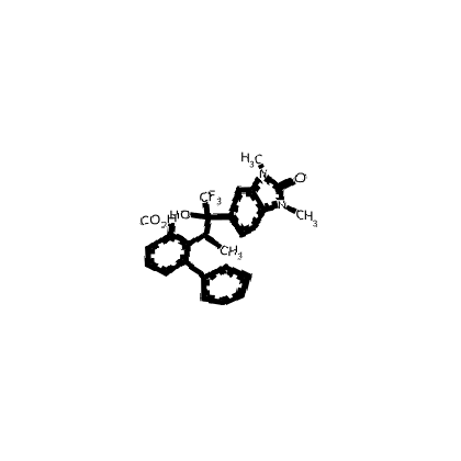 CC(c1c(C(=O)O)cccc1-c1ccccc1)C(O)(c1ccc2c(c1)n(C)c(=O)n2C)C(F)(F)F